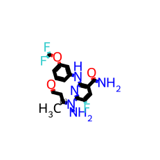 C[C@H](CC=O)N(N)c1nc(Nc2cccc(OC(F)F)c2)c(C(N)=O)cc1F